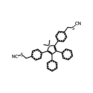 CS1(C)C(c2ccc(CSC#N)cc2)=C(c2ccccc2)C(c2ccccc2)=C1c1ccc(CSC#N)cc1